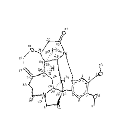 COc1cc2c(cc1OC)[C@@]13CCN4CCC5=CCOC6CC(=O)N2C1[C@H]6[C@H]5C[C@H]43